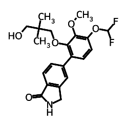 COc1c(OC(F)F)ccc(-c2ccc3c(c2)CNC3=O)c1OCC(C)(C)CO